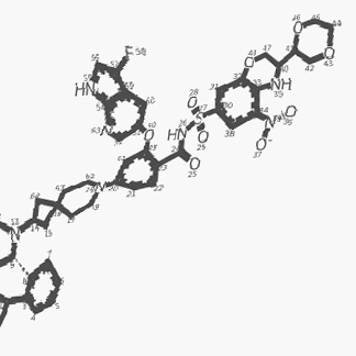 CC(C)c1ccccc1[C@@H]1CCCN1C1CC2(CCN(c3ccc(C(=O)NS(=O)(=O)c4cc5c(c([N+](=O)[O-])c4)NC(C4COCCO4)CO5)c(Oc4cnc5[nH]cc(F)c5c4)c3)CC2)C1